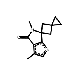 Cc1csc2c1C(=O)N(C)C21CC2(CC2)C1